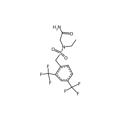 CCN(CC(N)=O)S(=O)(=O)Cc1ccc(C(F)(F)F)cc1C(F)(F)F